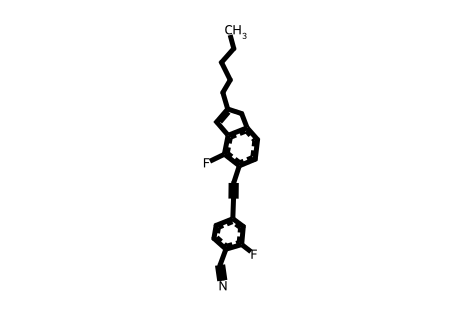 CCCCCC1=Cc2c(ccc(C#Cc3ccc(C#N)c(F)c3)c2F)C1